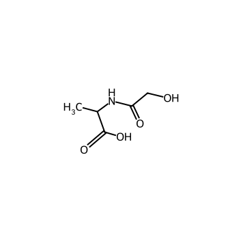 CC(NC(=O)CO)C(=O)O